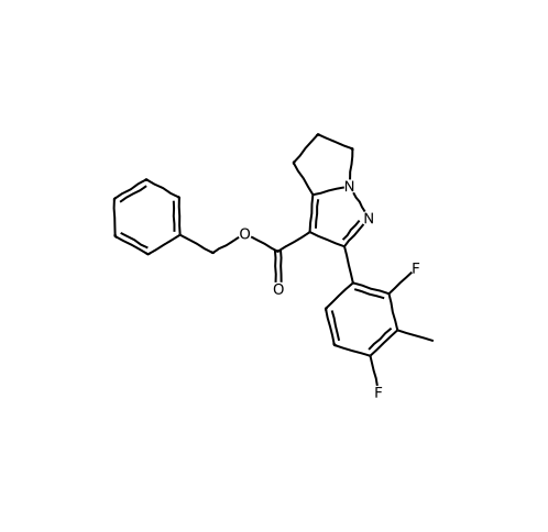 Cc1c(F)ccc(-c2nn3c(c2C(=O)OCc2ccccc2)CCC3)c1F